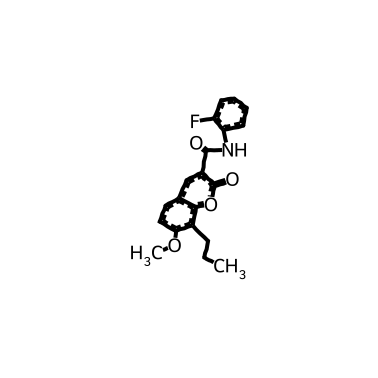 CCCc1c(OC)ccc2cc(C(=O)Nc3ccccc3F)c(=O)oc12